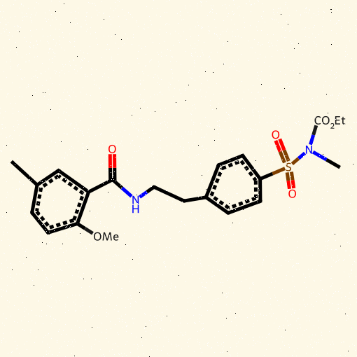 CCOC(=O)N(C)S(=O)(=O)c1ccc(CCNC(=O)c2cc(C)ccc2OC)cc1